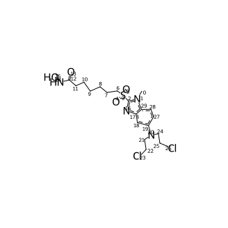 Cn1c(S(=O)(=O)CCCCCCC(=O)NO)nc2cc(N(CCCl)CCCl)ccc21